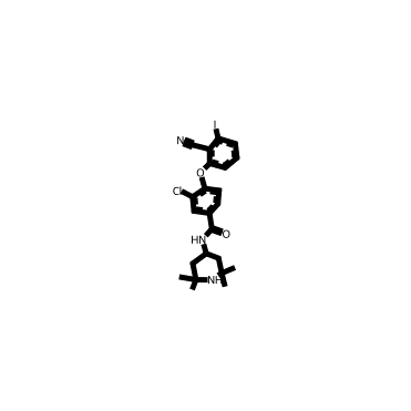 CC1(C)CC(NC(=O)c2ccc(Oc3cccc(I)c3C#N)c(Cl)c2)CC(C)(C)N1